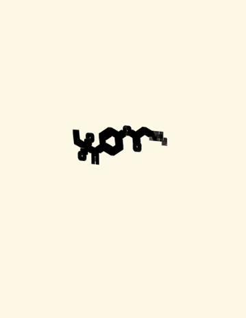 CCS(=O)(=O)Nc1ccc(OC(=O)CN)cc1